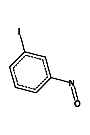 O=Nc1cccc(I)c1